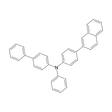 c1ccc(-c2ccc(N(c3ccccc3)c3ccc(-c4ccc5ccccc5c4)cc3)cc2)cc1